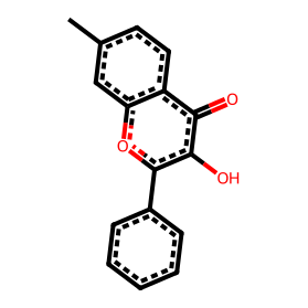 Cc1ccc2c(=O)c(O)c(-c3ccccc3)oc2c1